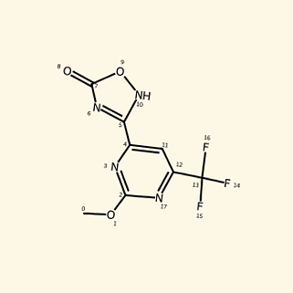 COc1nc(-c2nc(=O)o[nH]2)cc(C(F)(F)F)n1